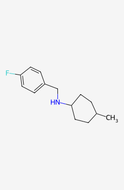 CC1CCC(NCc2ccc(F)cc2)CC1